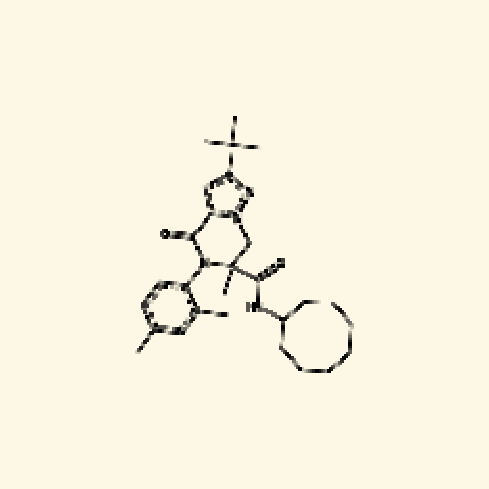 Cc1ccc(N2C(=O)c3cc(C(C)(C)C)nn3CC2(C)C(=O)NC2CCCCCCC2)c(C)c1